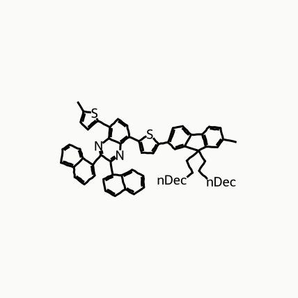 CCCCCCCCCCCCC1(CCCCCCCCCCCC)c2cc(C)ccc2-c2ccc(-c3ccc(-c4ccc(-c5ccc(C)s5)c5nc(-c6cccc7ccccc67)c(-c6cccc7ccccc67)nc45)s3)cc21